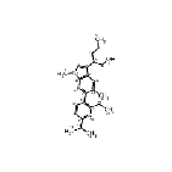 CCC[C@@H](CO)c1cn(C)c2nc(-c3ccc(C(C)C)nc3CC)c(C)cc12